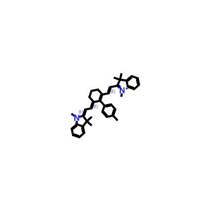 Cc1ccc(C2=C(/C=C/C3=[N+](C)c4ccccc4C3(C)C)CCC/C2=C\C=C2\N(C)c3ccccc3C2(C)C)cc1